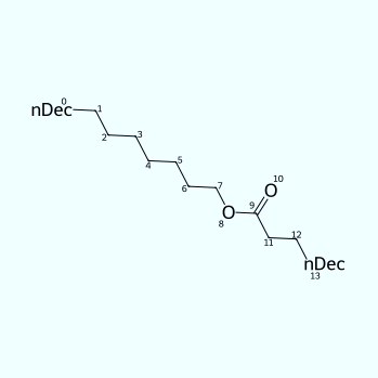 CCCCCCCCCCCCCCCCCOC(=O)CCCCCCCCCCCC